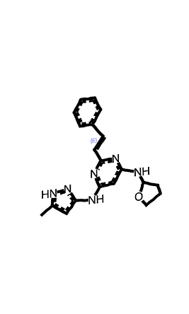 Cc1cc(Nc2cc(NC3CCCO3)nc(/C=C/c3ccccc3)n2)n[nH]1